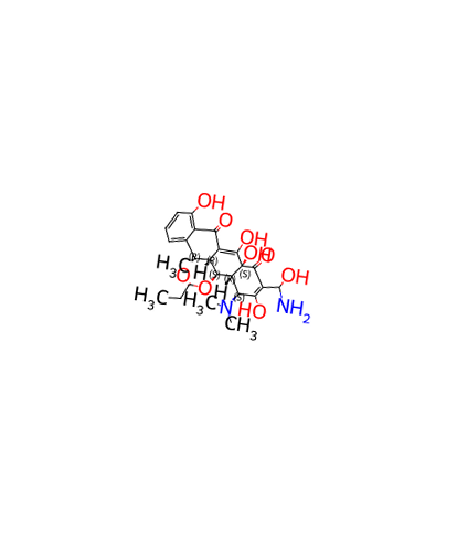 CCC(=O)O[C@H]1[C@H]2C(=C(O)[C@]3(O)C(=O)C(C(N)O)=C(O)[C@@H](N(C)C)[C@H]13)C(=O)c1c(O)cccc1[C@@H]2C